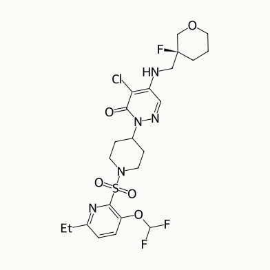 CCc1ccc(OC(F)F)c(S(=O)(=O)N2CCC(n3ncc(NC[C@@]4(F)CCCOC4)c(Cl)c3=O)CC2)n1